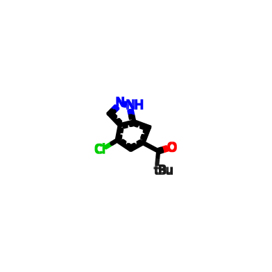 CC(C)(C)C(=O)c1cc(Cl)c2cn[nH]c2c1